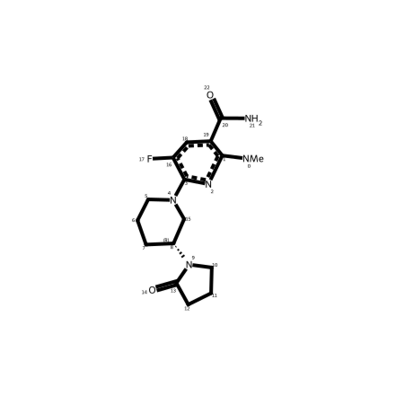 CNc1nc(N2CCC[C@@H](N3CCCC3=O)C2)c(F)cc1C(N)=O